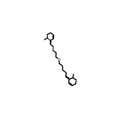 CC1CCC=CC1=CCCCCOCCCCC=C1C=CCCC1C